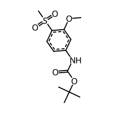 COc1cc(NC(=O)OC(C)(C)C)ccc1S(C)(=O)=O